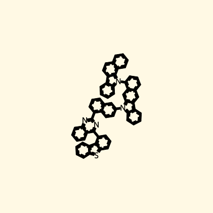 c1cc(-c2nc(-c3cccc4sc5ccccc5c34)c3ccccc3n2)c2ccc(-n3c4ccccc4c4cc5cccc(-n6c7ccccc7c7ccc8ccccc8c76)c5cc43)cc2c1